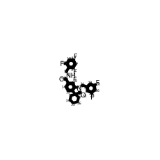 O=C(NCc1c(F)cc(F)cc1F)c1ccc2c(c1F)N(Cc1cc(F)cc(F)c1)C(=O)C21CCCCC1